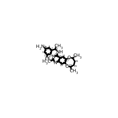 Cc1nc(NC(C)c2cc(N)cc(C(F)(F)F)c2)c2cc3c(cc2n1)OC(C)CCC(C)O3